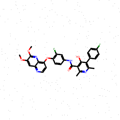 COc1cc2nccc(Oc3ccc(NC(=O)c4c(C)nc(C)c(-c5ccc(F)cc5)c4O)cc3F)c2nc1OC